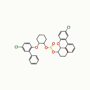 O=S(OC1CCCCC1Oc1ccc(Cl)cc1-c1ccccc1)OC1CCCCC1Oc1ccc(Cl)cc1-c1ccccc1